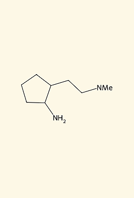 CNCCC1CCCC1N